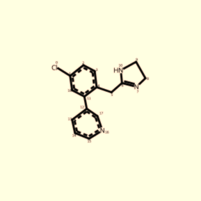 Clc1ccc(CC2=NCCN2)c(-c2cccnc2)c1